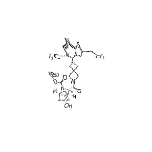 CC(C)(C)OC(=O)N1[C@H]2C[C@H]([C@H](O)C2)[C@H]1C(=O)N1CC2(C1)CN(c1c(C(F)(F)F)cnc3sc(CC(F)(F)F)cc13)C2